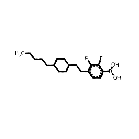 CCCCCC1CCC(CCc2ccc(B(O)O)c(F)c2F)CC1